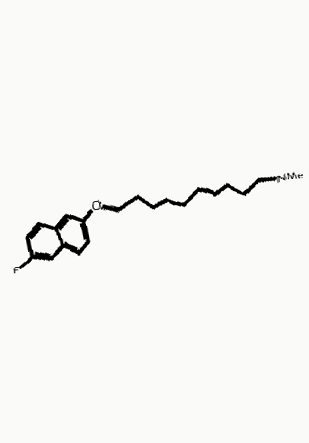 CNCCCCCCCCCCOc1ccc2cc(F)ccc2c1